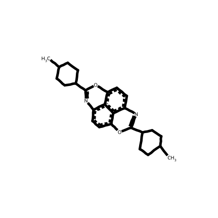 CC1CCC(C2=Nc3ccc4c5c(ccc(c35)O2)N=C(C2CCC(C)CC2)O4)CC1